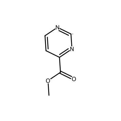 COC(=O)c1ccn[c]n1